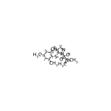 Cc1cc(C)c(Sc2c(I)cnn2S(=O)(=O)N(C)C)c(C)c1